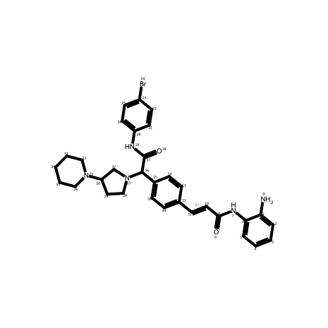 Nc1ccccc1NC(=O)/C=C/c1ccc(C(C(=O)Nc2ccc(Br)cc2)N2CCC(N3CCCCC3)C2)cc1